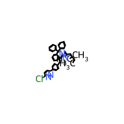 CCC(C)(C)Cc1cn(C(c2ccccc2)(c2ccccc2)c2ccccc2)c(CCc2ccc(-c3ccc(Cl)nn3)cc2)n1